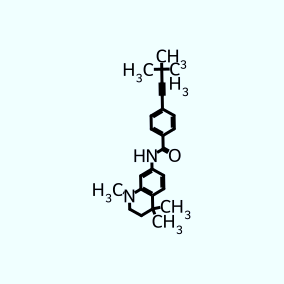 CN1CCC(C)(C)c2ccc(NC(=O)c3ccc(C#CC(C)(C)C)cc3)cc21